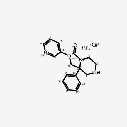 Cl.Cl.O=CN1CCNCC1(COc1cccnc1)c1ccccc1